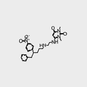 Cn1c(NCCNCCCC(Cc2ccccc2)c2ccc([N+](=O)[O-])cc2)cc(=O)n(C)c1=O